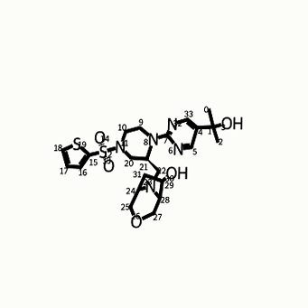 CC(C)(O)c1cnc(N2CCN(S(=O)(=O)c3cccs3)C[C@@H]2CN2C3COCC2C(O)C3)nc1